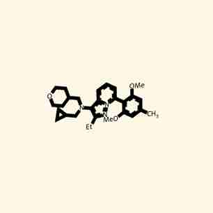 CCc1nn2c(-c3c(OC)cc(C)cc3OC)cccc2c1N(CC1CCOCC1)CC1CC1